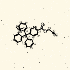 CC(C)c1ccccc1C(c1ccccc1)(c1ccccc1)c1ccc(C(=O)OCC#N)nc1